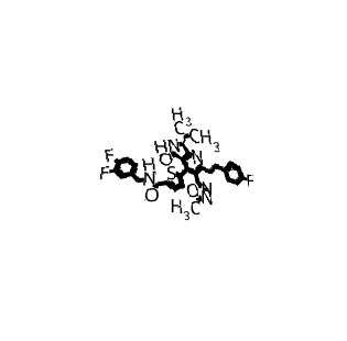 Cc1nnc(-c2c(CCc3ccc(F)cc3)nc3c(c2-c2ccc(C(=O)NCc4ccc(F)c(F)c4)s2)C(=O)N[C@H]3C(C)C)o1